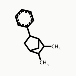 CC1C2CC(c3ccccc3)C(C2)C1C